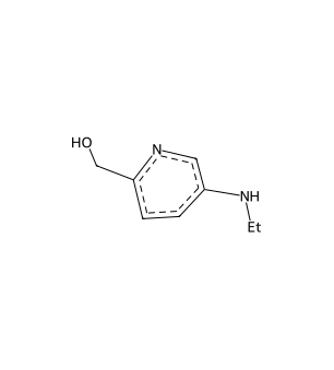 CCNc1ccc(CO)nc1